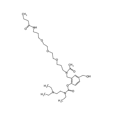 CCCC(=O)NCCCOCCOCCOCCCN(Cc1cc(CO)ccc1OC(=O)N(CC)CCN(CC)CC)C(C)=O